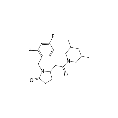 CC1CC(C)CN(C(=O)CC2CCC(=O)N2Cc2ccc(F)cc2F)C1